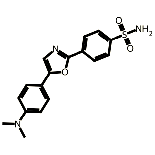 CN(C)c1ccc(-c2cnc(-c3ccc(S(N)(=O)=O)cc3)o2)cc1